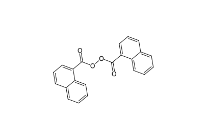 O=C(OOC(=O)c1cccc2ccccc12)c1cccc2ccccc12